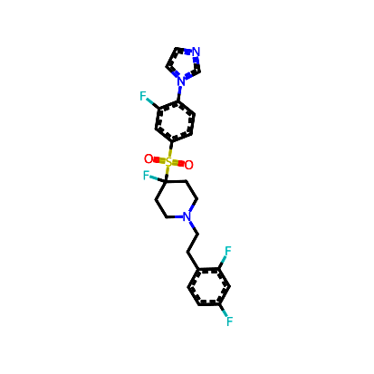 O=S(=O)(c1ccc(-n2ccnc2)c(F)c1)C1(F)CCN(CCc2ccc(F)cc2F)CC1